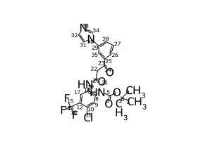 CC(C)(C)OC(=O)Nc1cc(Cl)c(C(F)(F)F)cc1NC(=O)CC(=O)c1cccc(-n2ccnc2)c1